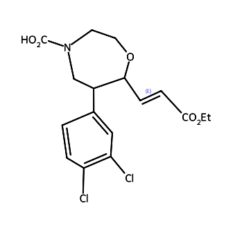 CCOC(=O)/C=C/C1OCCN(C(=O)O)CC1c1ccc(Cl)c(Cl)c1